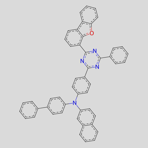 c1ccc(-c2ccc(N(c3ccc(-c4nc(-c5ccccc5)nc(-c5cccc6c5oc5ccccc56)n4)cc3)c3ccc4ccccc4c3)cc2)cc1